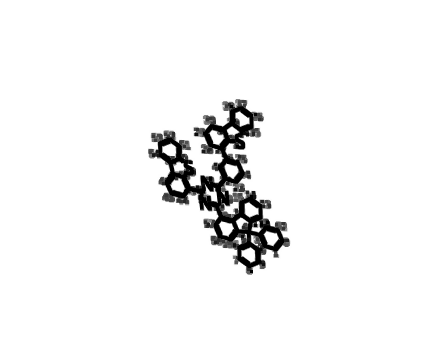 c1ccc(C2(c3ccccc3)c3ccccc3-c3c(-c4nc(-c5cccc(-c6cccc7c6sc6ccccc67)c5)nc(-c5cccc6c5sc5ccccc56)n4)cccc32)cc1